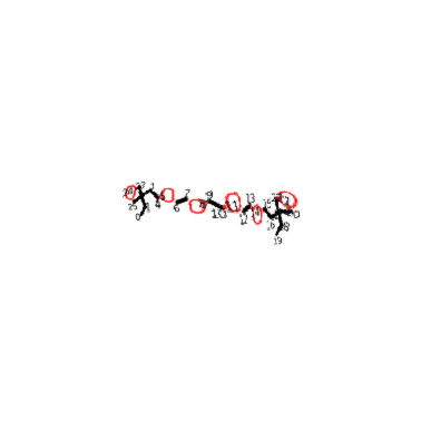 CCC1(CCOCCOCCOCCOCCC2(CC)COC2)COC1